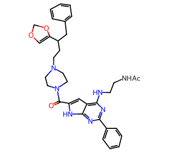 CC(=O)NCCNc1nc(-c2ccccc2)nc2[nH]c(C(=O)N3CCN(CCC(Cc4ccccc4)C4=COCO4)CC3)cc12